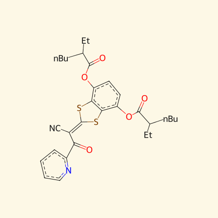 CCCCC(CC)C(=O)Oc1ccc(OC(=O)C(CC)CCCC)c2c1SC(=C(C#N)C(=O)c1ccccn1)S2